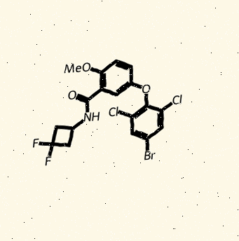 COc1ccc(Oc2c(Cl)cc(Br)cc2Cl)cc1C(=O)NC1CC(F)(F)C1